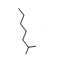 CCCCCC(O)O.[CaH2]